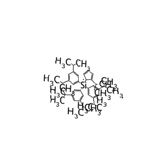 CCC(C)C1=CC=C[C]1[Si](c1cc(C(C)C)cc(C(C)C)c1)(c1cc(C(C)C)cc(C(C)C)c1)c1cc(C(C)C)cc(C(C)C)c1